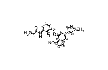 C=CC(=O)Nc1cccc(COc2cc(-c3cnn(C)c3)cn3ncc(C#N)c23)c1Cl